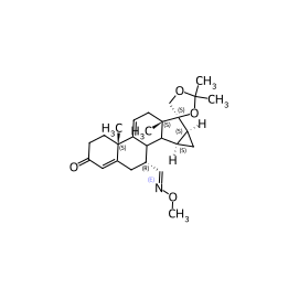 CO/N=C/[C@@H]1CC2=CC(=O)CC[C@]2(C)C2=CC[C@@]3(C)C(C21)[C@@H]1C[C@@H]1[C@@]31COC(C)(C)O1